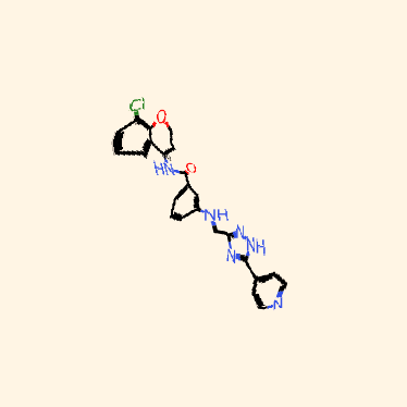 O=C(N[C@@H]1CCOc2c(Cl)cccc21)c1cccc(NCc2n[nH]c(-c3ccncc3)n2)c1